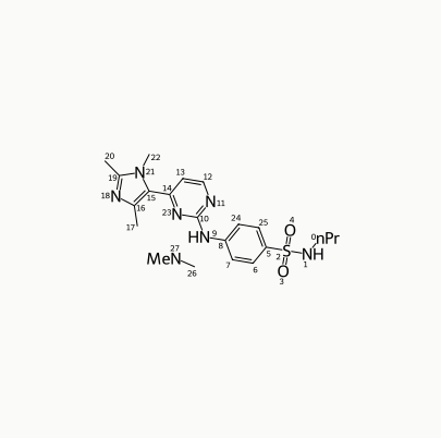 CCCNS(=O)(=O)c1ccc(Nc2nccc(-c3c(C)nc(C)n3C)n2)cc1.CNC